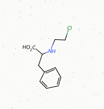 O=C(O)C(Cc1ccccc1)NCCCl